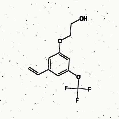 C=Cc1cc(OCCO)cc(OC(F)(F)F)c1